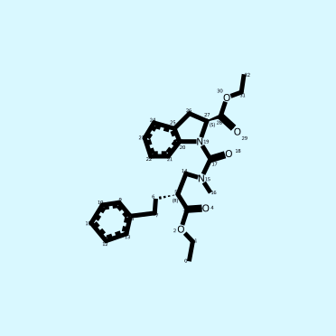 CCOC(=O)[C@H](CCc1ccccc1)CN(C)C(=O)N1c2ccccc2C[C@H]1C(=O)OCC